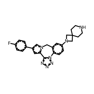 Fc1ccc(-c2cc3n(c2)Cc2cc(N4CC5(CCNCC5)C4)ccc2-n2nnnc2-3)cc1